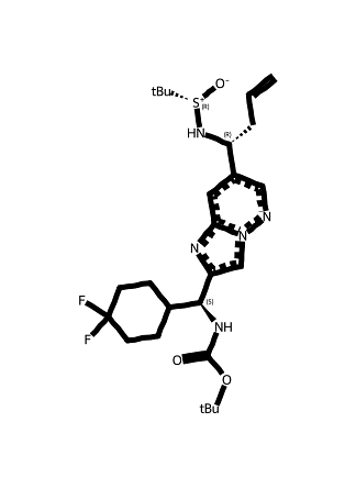 C=CC[C@@H](N[S@@+]([O-])C(C)(C)C)c1cnn2cc([C@@H](NC(=O)OC(C)(C)C)C3CCC(F)(F)CC3)nc2c1